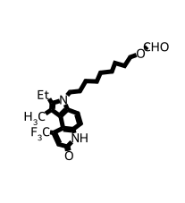 CCc1c(C)c2c3c(C(F)(F)F)cc(=O)[nH]c3ccc2n1CCCCCCCCCOC=O